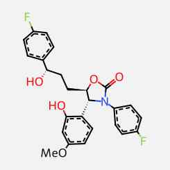 COc1ccc([C@@H]2[C@@H](CC[C@H](O)c3ccc(F)cc3)OC(=O)N2c2ccc(F)cc2)c(O)c1